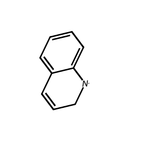 C1=Cc2ccccc2[N]C1